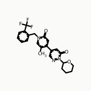 Cc1cn(Cc2ccccc2C(F)(F)F)c(=O)cc1-c1cnn(C2CCCCO2)c(=O)c1